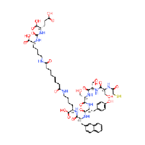 O=C(O)CC[C@H](NC(=O)N[C@@H](CCCCNC(=O)CCCCCCC(=O)NCCCC[C@@H](NC(=O)[C@@H](Cc1ccc2ccccc2c1)NC(=O)[C@@H](Cc1ccc(O)cc1)NC(=O)[C@H](CO)NC(=O)[C@H](CO)NC(=O)[C@H](CO)NC(=O)CS)C(=O)O)C(=O)O)C(=O)O